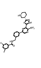 Nc1ncc(-c2cccc(CNC(=O)c3cc(F)cc(F)c3)c2)nc1-c1nc([C@H]2CCCNC2)n[nH]1